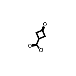 O=C1CC(C(=O)Cl)C1